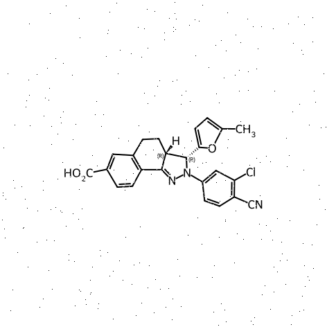 Cc1ccc([C@H]2[C@H]3CCc4cc(C(=O)O)ccc4C3=NN2c2ccc(C#N)c(Cl)c2)o1